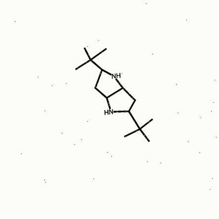 CC(C)(C)C1CC2NC(C(C)(C)C)CC2N1